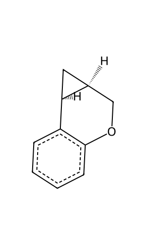 c1ccc2c(c1)OC[C@@H]1C[C@H]21